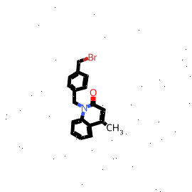 Cc1cc(=O)n(Cc2ccc(CBr)cc2)c2ccccc12